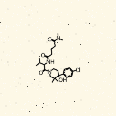 CC(C)C(NC(=O)CCCC(=O)N(C)C)C(=O)N1CCC(O)(c2ccc(Cl)cc2)C(C)(C)C1